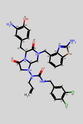 C=CCN(C(=O)NCc1ccc(Cl)c(Cl)c1)N1CC(=O)N2C1CN(Cc1cccc3sc(N)nc13)C(=O)[C@@H]2Cc1ccc(O)c(N)c1